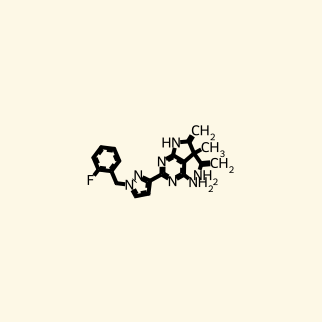 C=C(N)C1(C)C(=C)Nc2nc(-c3ccn(Cc4ccccc4F)n3)nc(N)c21